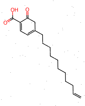 C=CCCCCCCCCCC1=CC=C(C(=O)O)C(=O)C1